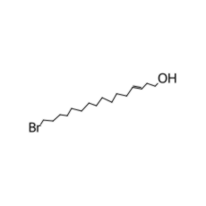 OCC/C=C/CCCCCCCCCCCCBr